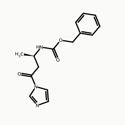 C[C@H](CC(=O)n1ccnc1)NC(=O)OCc1ccccc1